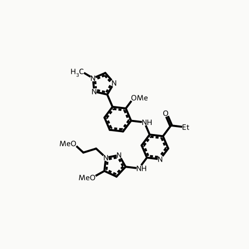 CCC(=O)c1cnc(Nc2cc(OC)n(CCOC)n2)cc1Nc1cccc(-c2ncn(C)n2)c1OC